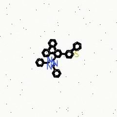 c1ccc(-c2nc(-c3ccccc3)nc(-c3cc(-c4ccc5sc6ccccc6c5c4)cc4c5ccccc5c5ccccc5c34)n2)cc1